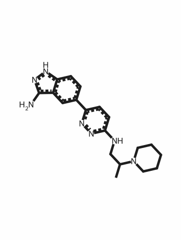 CC(CNc1ccc(-c2ccc3[nH]nc(N)c3c2)nn1)N1CCCCC1